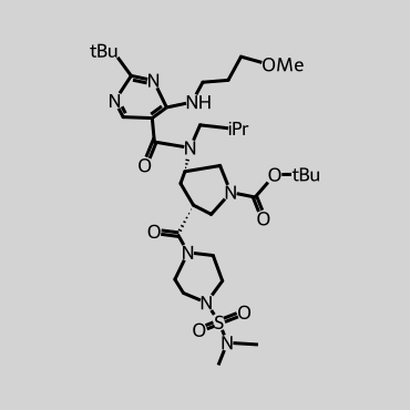 COCCCNc1nc(C(C)(C)C)ncc1C(=O)N(CC(C)C)[C@H]1C[C@@H](C(=O)N2CCN(S(=O)(=O)N(C)C)CC2)CN(C(=O)OC(C)(C)C)C1